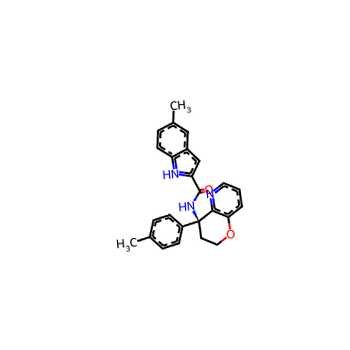 Cc1ccc([C@@]2(NC(=O)c3cc4cc(C)ccc4[nH]3)CCOc3cccnc32)cc1